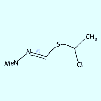 CN/N=C/SC(C)Cl